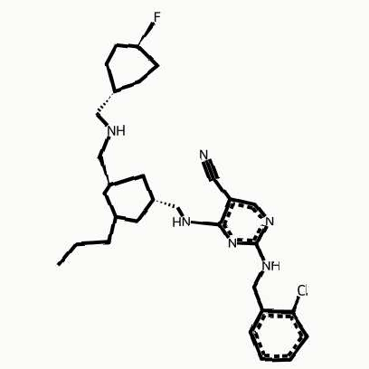 CCCC1C[C@@H](CNC[C@H]2CC[C@H](F)CC2)C[C@H](CNc2nc(NCc3ccccc3Cl)ncc2C#N)C1